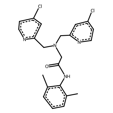 Cc1cccc(C)c1NC(=O)CN(Cc1cc(Cl)ccn1)Cc1cc(Cl)ccn1